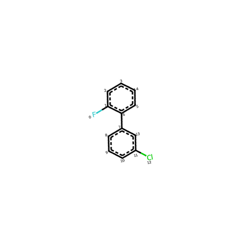 Fc1cc[c]cc1-c1cccc(Cl)c1